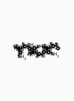 COC(c1ccccc1)c1ccc(NC(=O)c2cc(C(F)(F)F)nn2-c2cc(CN)ccc2-c2cccc(C(Cl)c3ccc(NC(=O)c4cc(C(F)(F)F)nn4-c4cc(CN)ccc4-c4cccc(C(O)c5ccc(NC(=O)c6cc(C(F)(F)F)nn6-c6cccc(CN)c6)c(F)c5)c4)c(F)c3)c2)c(F)c1